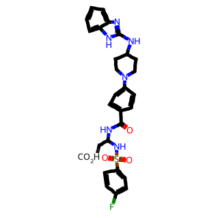 O=C(O)CC(NC(=O)c1ccc(N2CCC(Nc3nc4ccccc4[nH]3)CC2)cc1)NS(=O)(=O)c1ccc(F)cc1